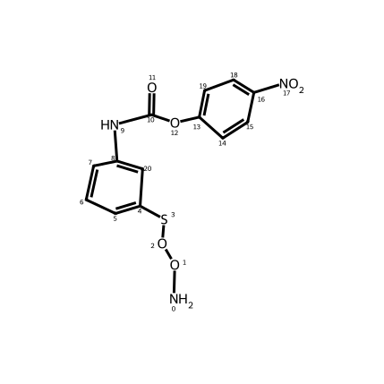 NOOSc1cccc(NC(=O)Oc2ccc([N+](=O)[O-])cc2)c1